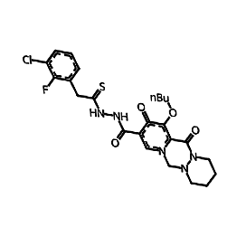 CCCCOc1c2n(cc(C(=O)NNC(=S)Cc3cccc(Cl)c3F)c1=O)CN1CCCCN1C2=O